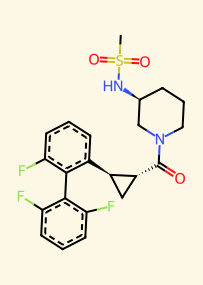 CS(=O)(=O)N[C@H]1CCCN(C(=O)[C@@H]2C[C@H]2c2cccc(F)c2-c2c(F)cccc2F)C1